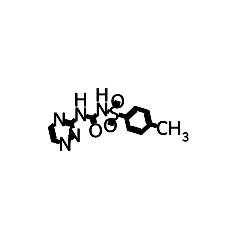 Cc1ccc(S(=O)(=O)NC(=O)Nc2nccnn2)cc1